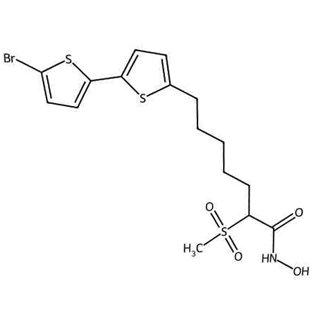 CS(=O)(=O)C(CCCCCc1ccc(-c2ccc(Br)s2)s1)C(=O)NO